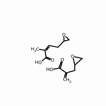 C=C(CC1CO1)C(=O)O.CC(=CCC1CO1)C(=O)O